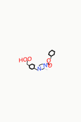 C[C@@H]1CN(Cc2ccc(CC(=O)O)cc2)CCN1C(=O)OCc1ccccc1